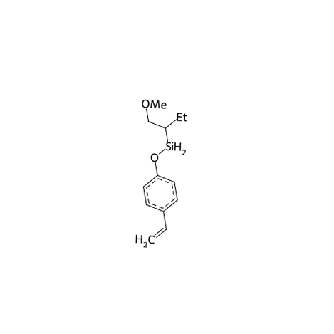 C=Cc1ccc(O[SiH2]C(CC)COC)cc1